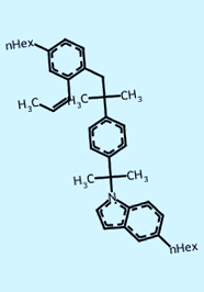 C/C=C\c1cc(CCCCCC)ccc1CC(C)(C)c1ccc(C(C)(C)n2ccc3cc(CCCCCC)ccc32)cc1